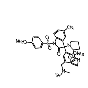 COc1ccc(S(=O)(=O)N2C(=O)C(c3cc(CN(C)C(C)C)ccc3OC)(N3CCC[C@H]3c3ncco3)c3cc(C#N)ccc32)cc1